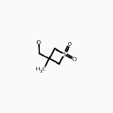 CC1(C[O])CS(=O)(=O)C1